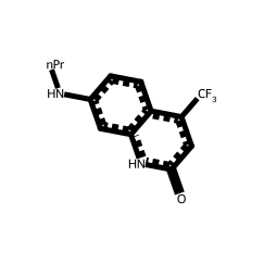 CCCNc1ccc2c(C(F)(F)F)cc(=O)[nH]c2c1